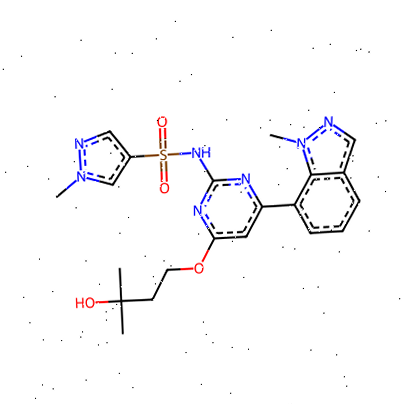 Cn1cc(S(=O)(=O)Nc2nc(OCCC(C)(C)O)cc(-c3cccc4cnn(C)c34)n2)cn1